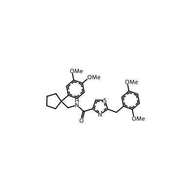 COc1ccc(OC)c(Cc2nc(C(=O)NCC3(c4ccc(OC)c(OC)c4)CCCC3)cs2)c1